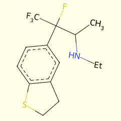 CCNC(C)C(F)(c1ccc2c(c1)CCS2)C(F)(F)F